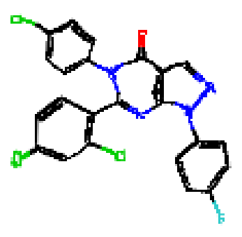 O=c1c2cnn(-c3ccc(F)cc3)c2nc(-c2ccc(Cl)cc2Cl)n1-c1ccc(Cl)cc1